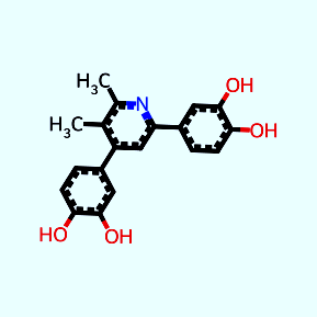 Cc1nc(-c2ccc(O)c(O)c2)cc(-c2ccc(O)c(O)c2)c1C